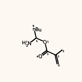 C=C(C)C(=O)OC(N)CCCC